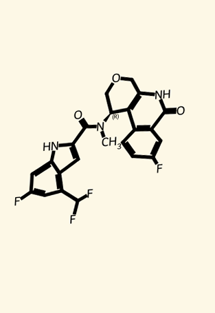 CN(C(=O)c1cc2c(C(F)F)cc(F)cc2[nH]1)[C@H]1COCc2[nH]c(=O)c3cc(F)ccc3c21